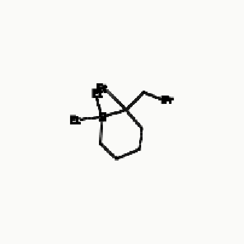 CCC1(CC(C)C)CCCC[Si]1(CC)CC